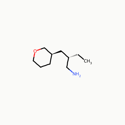 CC[C@H](CN)C[C@H]1CCCOC1